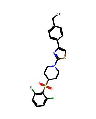 CCc1ccc(-c2csc(N3CCC(S(=O)(=O)c4c(F)cccc4F)CC3)n2)cc1